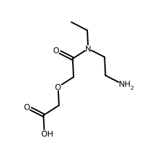 CCN(CCN)C(=O)COCC(=O)O